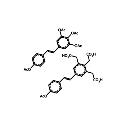 CC(=O)Oc1ccc(/C=C/c2cc(CC(=O)O)c(CC(=O)O)c(CC(=O)O)c2)cc1.CC(=O)Oc1ccc(/C=C/c2cc(OC(C)=O)c(OC(C)=O)c(OC(C)=O)c2)cc1